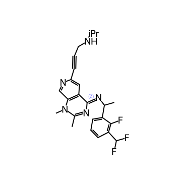 Cc1n/c(=N\C(C)c2cccc(C(F)F)c2F)c2cc(C#CCNC(C)C)ncc2n1C